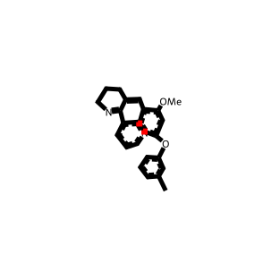 COc1cc(Oc2cccc(C)c2)ccc1/C=C1/CCCN=C1c1cccnc1